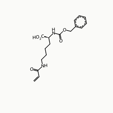 C=CC(=O)NCCCC[C@H](NC(=O)OCc1ccccc1)C(=O)O